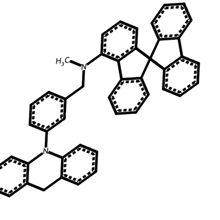 CN(Cc1cccc(N2c3ccccc3Cc3ccccc32)c1)c1cccc2c1-c1ccccc1C21c2ccccc2-c2ccccc21